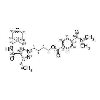 CCc1nn(CCCCOC(=O)c2ccc(C(=O)N(C)C)cc2)c2c1C(=O)NCC1(CCOCC1)C2